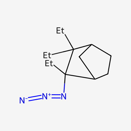 CCC1(CC)C2CCC(C2)C1(CC)N=[N+]=[N-]